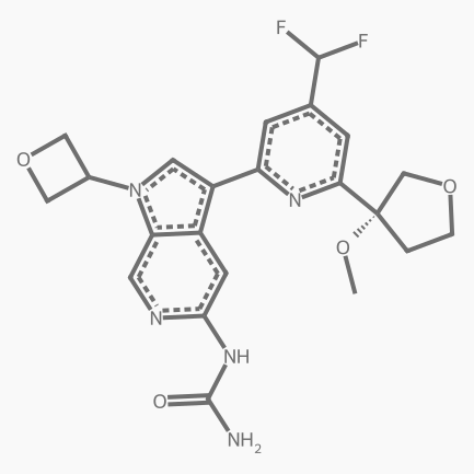 CO[C@@]1(c2cc(C(F)F)cc(-c3cn(C4COC4)c4cnc(NC(N)=O)cc34)n2)CCOC1